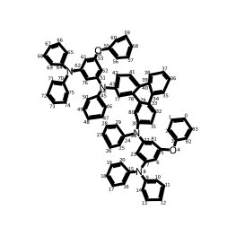 c1ccc(Oc2cc(N(c3ccccc3)c3ccccc3)cc(N(c3ccccc3)c3ccc4c5ccccc5c5ccc(N(c6ccccc6)c6cc(Oc7ccccc7)cc(N(c7ccccc7)c7ccccc7)c6)cc5c4c3)c2)cc1